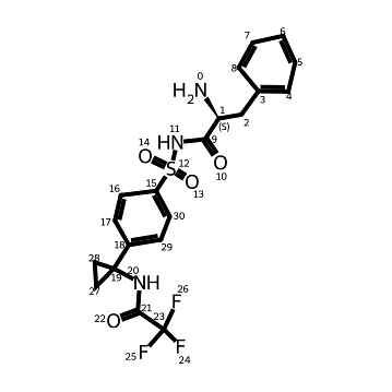 N[C@@H](Cc1ccccc1)C(=O)NS(=O)(=O)c1ccc(C2(NC(=O)C(F)(F)F)CC2)cc1